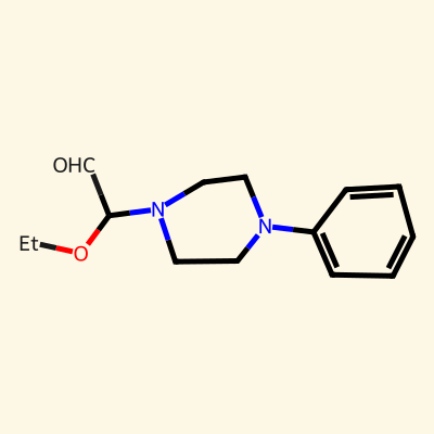 [CH2]COC(C=O)N1CCN(c2ccccc2)CC1